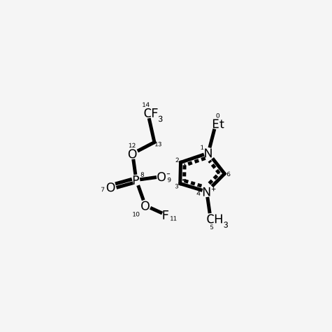 CCn1cc[n+](C)c1.O=P([O-])(OF)OCC(F)(F)F